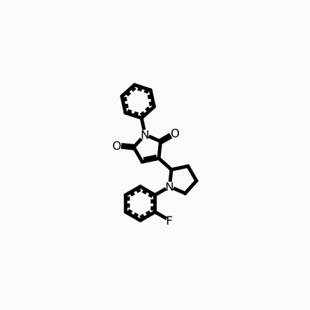 O=C1C=C(C2CCCN2c2ccccc2F)C(=O)N1c1ccccc1